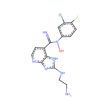 N=C(c1ccnc2nc(NCCN)[nH]c12)N(O)c1ccc(F)c(Cl)c1